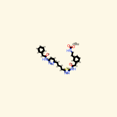 CC(C)(C)OC(=O)NCCc1cccc(CC(=O)Nc2nnc(CCCCc3ccc(NC(=O)Cc4ccccc4)nn3)s2)c1